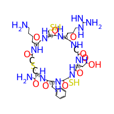 N=C(N)NCCC[C@@H]1NC(=O)[C@H](CS)NC(=O)[C@H](CCCCN)NC(=O)CSC[C@@H](C(N)=O)NC(=O)[C@H](Cc2ccccc2)NC(=O)C(S)NC(=O)[C@H](CC(=O)O)NC(=O)CNC1=O